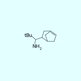 CC(C)(C)C(N)C1CC2=CCC1C2